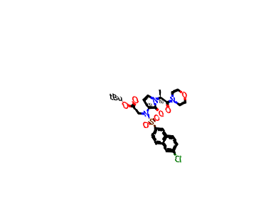 C[C@@H](C(=O)N1CCOCC1)N1CC[C@H](N(CC(=O)OC(C)(C)C)S(=O)(=O)c2ccc3cc(Cl)ccc3c2)C1=O